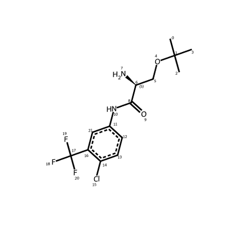 CC(C)(C)OC[C@H](N)C(=O)Nc1ccc(Cl)c(C(F)(F)F)c1